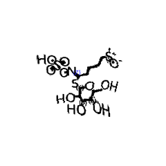 C[S@@+]([O-])CCCC/C(=N/OS(=O)(=O)O)S[C@@H]1OC(CO)[C@@H](O)[C@H](O)C1O